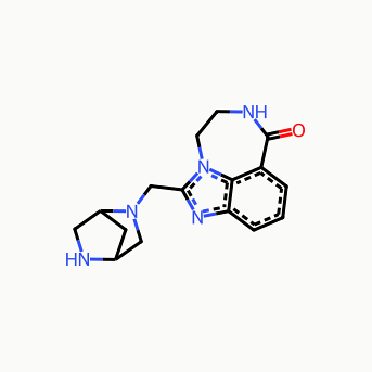 O=C1NCCn2c(CN3CC4CC3CN4)nc3cccc1c32